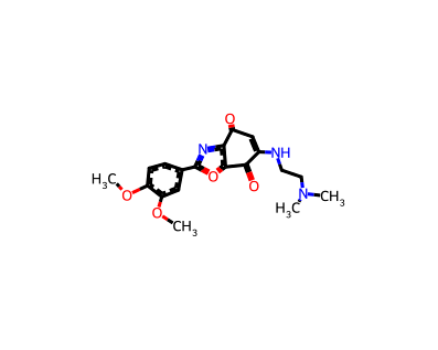 COc1ccc(-c2nc3c(o2)C(=O)C(NCCN(C)C)=CC3=O)cc1OC